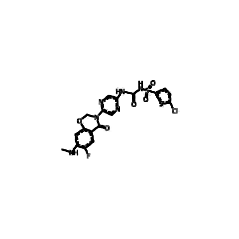 CNc1cc2c(cc1F)C(=O)N(c1cnc(NC(=O)NS(=O)(=O)c3ccc(Cl)s3)cn1)CO2